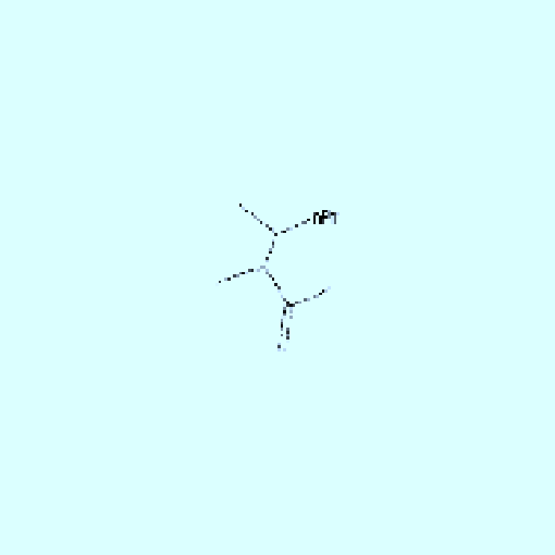 C=C(C)C(C)C(C)CCC